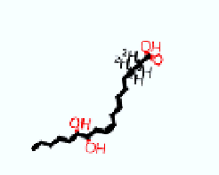 [2H]C([2H])(CCCCC/C=C\CC(O)C(O)CCCCC)C([2H])([2H])C(=O)O